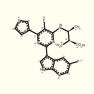 C[C@H](Nc1nc(-c2c[nH]c3ncc(F)cc23)nc(-c2ccsc2)c1F)[C@H](C)C(=O)O